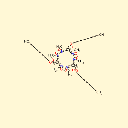 C#CC#CC#CC#CC#CC#CC#CC#COC(=O)Cc1cc2c(C)c(c1)CN(C(=O)C=C)C1CCCCC1N(C(=O)C=C)Cc1cc(CC(=O)OCC#CC#CC#CC#CC#CC#CC#CC)cc(c1C)CN(C(=O)C=C)C1CCCCC1N(C(=O)C=C)Cc1cc(CC(=O)OC#CC#CC#CC#CC#CC#CC#CC#C)cc(c1C)CN(C(=O)C=C)C1CCCCC1N(C(=O)C=C)C2